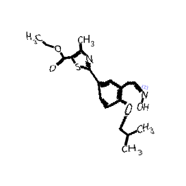 CCOC(=O)c1sc(-c2ccc(OCC(C)C)c(/C=N\O)c2)nc1C